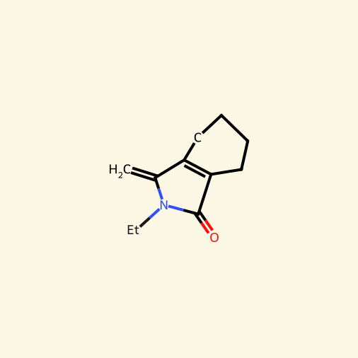 C=C1C2=C(CCCC2)C(=O)N1CC